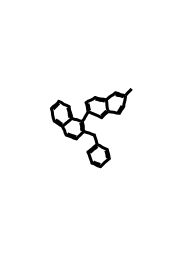 Cc1ccc2cc(-c3c(Cc4ccccc4)ccc4ccccc34)ccc2c1